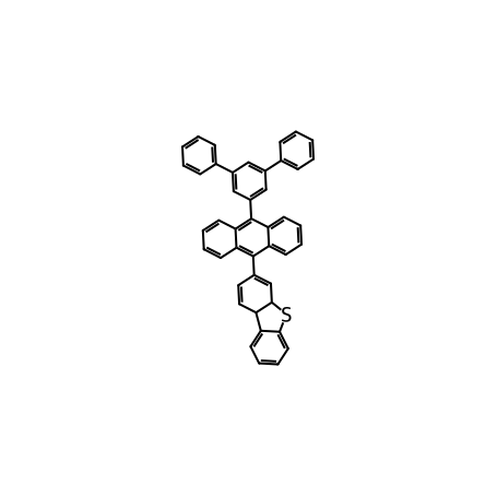 C1=CC2c3ccccc3SC2C=C1c1c2ccccc2c(-c2cc(-c3ccccc3)cc(-c3ccccc3)c2)c2ccccc12